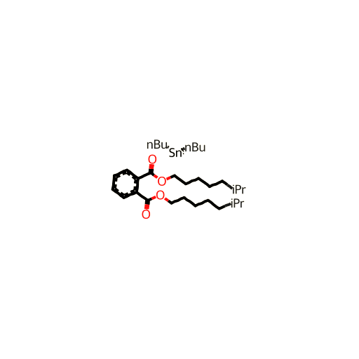 CC(C)CCCCCOC(=O)c1ccccc1C(=O)OCCCCCC(C)C.CCC[CH2][Sn][CH2]CCC